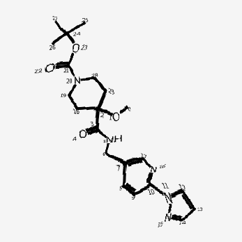 COC1(C(=O)NCc2ccc(-n3cccn3)nc2)CCN(C(=O)OC(C)(C)C)CC1